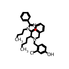 CCCCC(c1cnc(-c2ccccc2)n1CCCC)N(Cc1ccccc1)Cc1ccc(O)cc1Cl